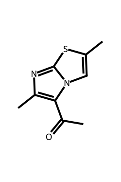 CC(=O)c1c(C)nc2sc(C)cn12